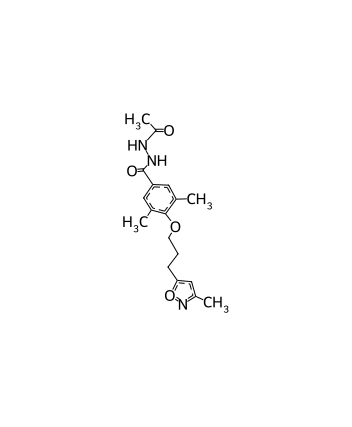 CC(=O)NNC(=O)c1cc(C)c(OCCCc2cc(C)no2)c(C)c1